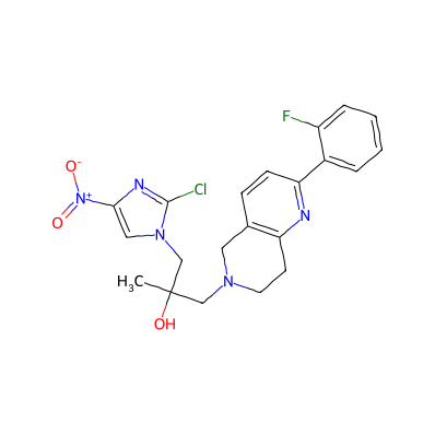 CC(O)(CN1CCc2nc(-c3ccccc3F)ccc2C1)Cn1cc([N+](=O)[O-])nc1Cl